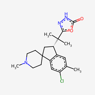 Cc1cc2c(cc1Cl)C1(CCN(C)CC1)C[C@@H]2C(C)(C)c1n[nH]c(=O)o1